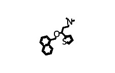 CN(C)CCC(OCc1cccc2ccccc12)c1cccs1